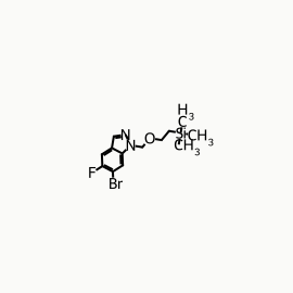 C[Si](C)(C)CCOCn1ncc2cc(F)c(Br)cc21